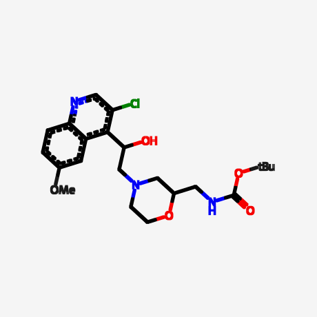 COc1ccc2ncc(Cl)c(C(O)CN3CCOC(CNC(=O)OC(C)(C)C)C3)c2c1